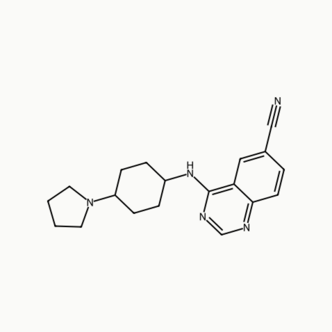 N#Cc1ccc2ncnc(NC3CCC(N4CCCC4)CC3)c2c1